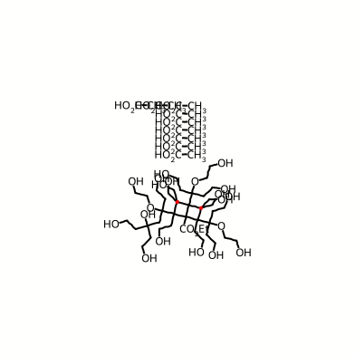 CC(=O)O.CC(=O)O.CC(=O)O.CC(=O)O.CC(=O)O.CC(=O)O.CC(=O)O.CC(=O)O.CC(=O)O.CCOC(=O)C(C(CCO)(CCO)C(CCO)(CCO)OCCO)(C(CCO)(CCO)C(CCO)(CCO)OCCO)C(CCO)(CCO)C(CCO)(CC(O)(CCO)CCO)OCCO